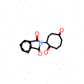 O=C1CCCC(=O)C(N2C(=O)c3ccccc3C2=O)CC1